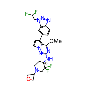 COc1nc(N[C@@H]2CCN(C3COC3)CC2(F)F)nn2ccc(-c3ccc4nnn(CC(F)F)c4c3)c12